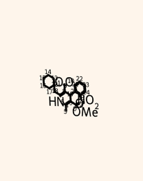 COC(=O)C1=C(C)NC2=C(C(=O)OC3(CCCCC3)C2)C1c1ccccc1[N+](=O)[O-]